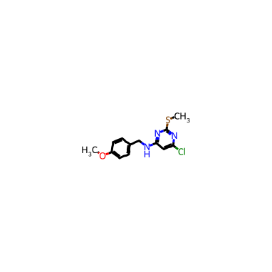 COc1ccc(CNc2cc(Cl)nc(SC)n2)cc1